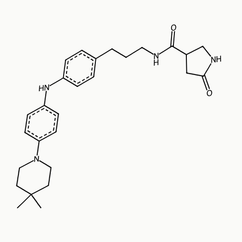 CC1(C)CCN(c2ccc(Nc3ccc(CCCNC(=O)C4CNC(=O)C4)cc3)cc2)CC1